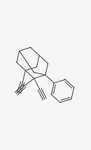 C#CC12CC3CC(C1)CC(c1ccccc1)(C3)C2(C#C)C#C